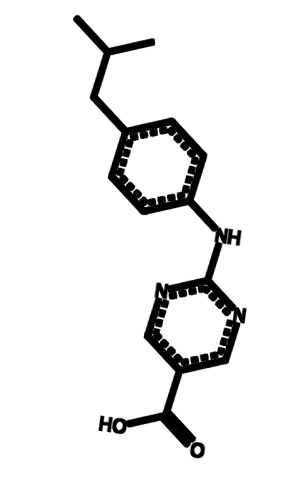 CC(C)Cc1ccc(Nc2ncc(C(=O)O)cn2)cc1